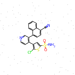 N#Cc1ccc(-c2cnccc2-c2cc(S(N)(=O)=O)sc2Cl)c2ccccc12